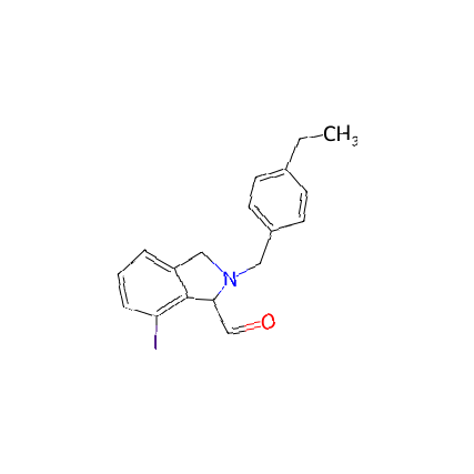 CCc1ccc(CN2Cc3cccc(I)c3C2C=O)cc1